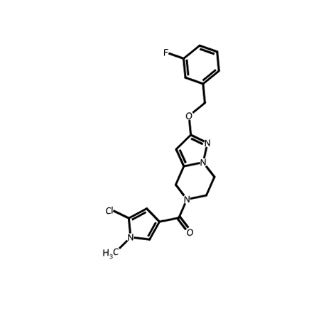 Cn1cc(C(=O)N2CCn3nc(OCc4cccc(F)c4)cc3C2)cc1Cl